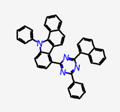 c1ccc(-c2nc(-c3cccc4ccccc34)nc(-c3cccc4c3c3ccc5ccccc5c3n4-c3ccccc3)n2)cc1